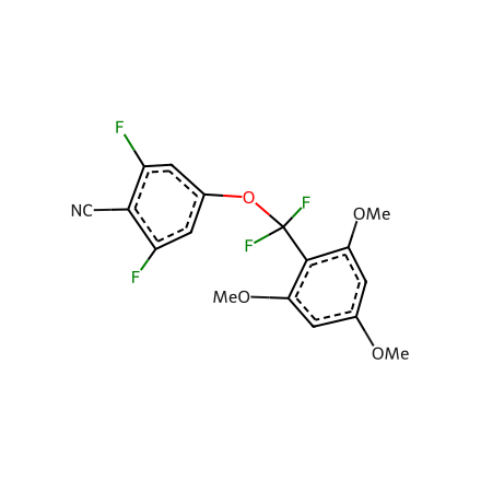 COc1cc(OC)c(C(F)(F)Oc2cc(F)c(C#N)c(F)c2)c(OC)c1